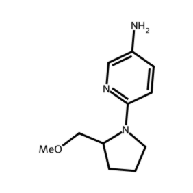 COCC1CCCN1c1ccc(N)cn1